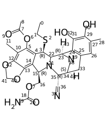 CCS[C@@H]1c2c(OC(C)=O)c(C)c3c(c2[C@H](COC(N)=O)N2C1[C@H]1c4c(cc(C)c(O)c4O)C[C@@H]([C@@H]2C#N)N1C)OCO3